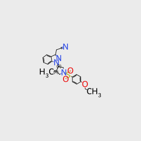 CCOc1ccc(S(=O)(=O)N2C[C@@H](C)[C@@H](n3nc(CC#N)c4ccccc43)C2)cc1